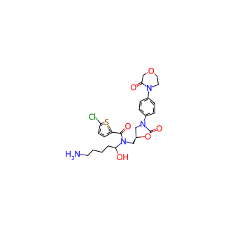 NCCCCC(O)N(C[C@H]1CN(c2ccc(N3CCOCC3=O)cc2)C(=O)O1)C(=O)c1ccc(Cl)s1